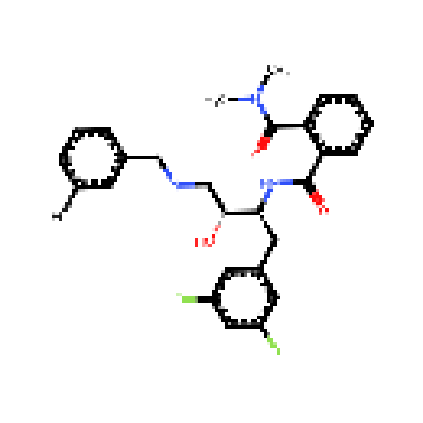 CCc1cccc(CNC[C@@H](O)[C@H](Cc2cc(F)cc(F)c2)NC(=O)c2ccccc2C(=O)N(C)C)c1